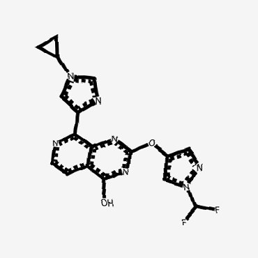 Oc1nc(Oc2cnn(C(F)F)c2)nc2c(-c3cn(C4CC4)cn3)nccc12